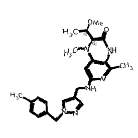 CO[C@H](C)[C@H]1C(=O)Nc2c(cc(NCc3cnn(Cc4ccc(C)cc4)c3)nc2C)N1C